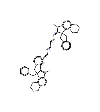 CN1/C(=C/C=C/C=C/C=C/C=C/C2=[N+](C)c3ccc4c(c3C2(Cc2ccccc2)Cc2ccccc2)CCCC4)C(Cc2ccccc2)(Cc2ccccc2)c2c1ccc1c2CCCC1